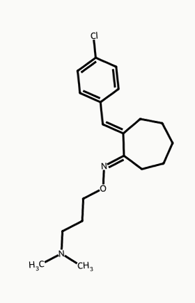 CN(C)CCCON=C1CCCCCC1=Cc1ccc(Cl)cc1